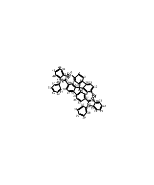 Brc1ccc2c(c1)C1(c3cc(Br)ccc3-2)c2cc(-c3nc4ccccc4n3-c3ccccc3)ccc2-c2ccc(-c3nc4ccccc4n3-c3ccccc3)cc21